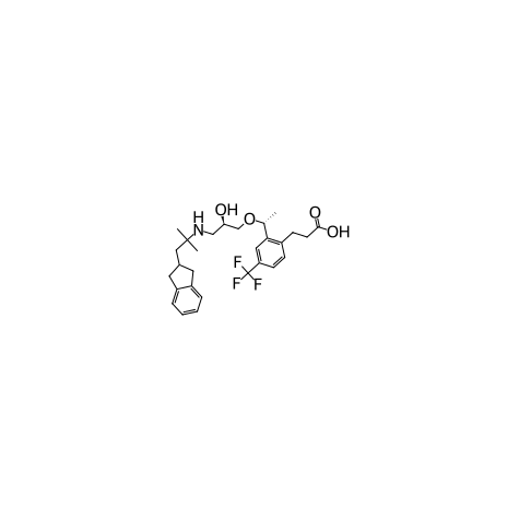 C[C@@H](OC[C@H](O)CNC(C)(C)CC1Cc2ccccc2C1)c1cc(C(F)(F)F)ccc1CCC(=O)O